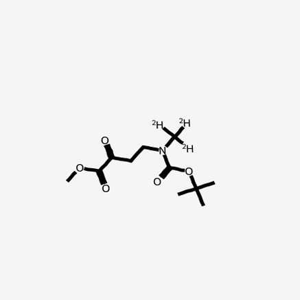 [2H]C([2H])([2H])N(CCC(=O)C(=O)OC)C(=O)OC(C)(C)C